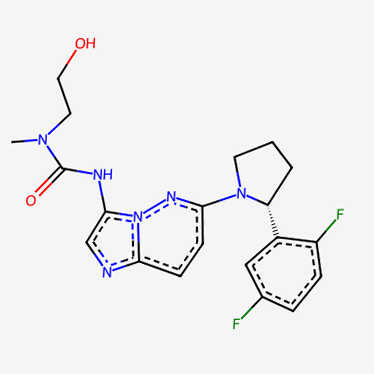 CN(CCO)C(=O)Nc1cnc2ccc(N3CCC[C@@H]3c3cc(F)ccc3F)nn12